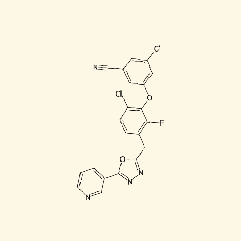 N#Cc1cc(Cl)cc(Oc2c(Cl)ccc(Cc3nnc(-c4cccnc4)o3)c2F)c1